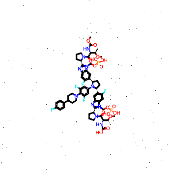 COC(=O)N[C@H](C(=O)N1CCC[C@H]1c1nc2cc(F)c([C@H]3CC[C@H](c4cc5nc([C@@H]6CCCN6C(=O)[C@@H](NC(=O)O)[C@@H](C)OC)n(COP(=O)(O)O)c5cc4F)N3c3cc(F)c(N4CCC(c5ccc(F)cc5)CC4)c(F)c3)cc2n1COP(=O)(O)O)[C@@H](C)OC